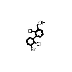 OCc1cccc(-c2cccc(Br)c2Cl)c1Cl